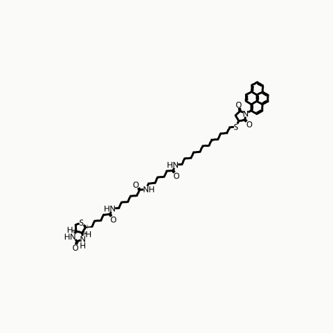 O=C(CCCCCNC(=O)CCCCCNC(=O)CCCC[C@@H]1SC[C@@H]2NC(=O)N[C@@H]21)NCCCCCCCCCCCCSC1CC(=O)N(c2ccc3ccc4cccc5ccc2c3c45)C1=O